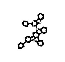 c1ccc(-c2ccc3c4cc5c(c6ccccc6n5-c5nc(-c6ccccc6)nc6c5oc5ccccc56)c5c6ccccc6n(c3c2)c45)cc1